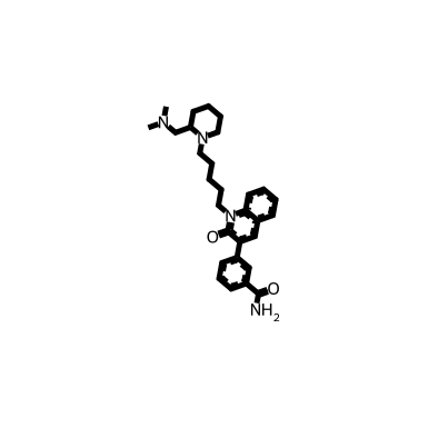 CN(C)CC1CCCCN1CCCCCn1c(=O)c(-c2cccc(C(N)=O)c2)cc2ccccc21